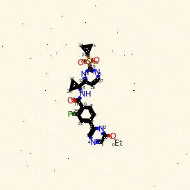 CCOc1cncc(-c2ccc(C(=O)NC3(c4ccnc(S(=O)(=O)C5CC5)n4)CC3)c(F)c2)n1